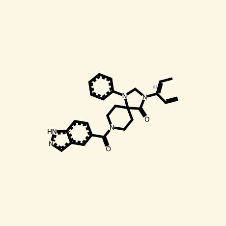 C=C/C(=C\C)N1CN(c2ccccc2)C2(CCN(C(=O)c3ccc4[nH]ncc4c3)CC2)C1=O